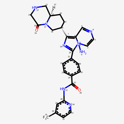 N[N+]12C=CN=CC1=C([C@H]1CC[C@@H]3CNCC(=O)N3C1)N=C2c1ccc(C(=O)Nc2cc(C(F)(F)F)ccn2)cc1